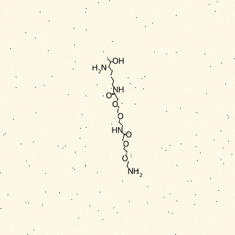 CC(O)[C@@H](N)CCCCNC(=O)COCCOCCNC(=O)COCCOCCN